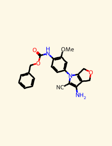 COc1cc(-n2c(C#N)c(N)c3c2COC3)ccc1NC(=O)OCc1ccccc1